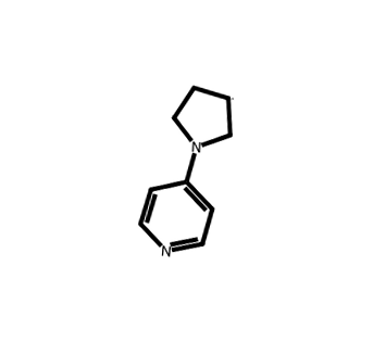 [CH]1CCN(c2ccncc2)C1